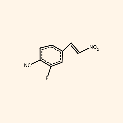 N#Cc1ccc(C=C[N+](=O)[O-])cc1F